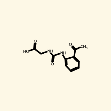 CC(=O)c1ccccc1NC(=O)NCC(=O)O